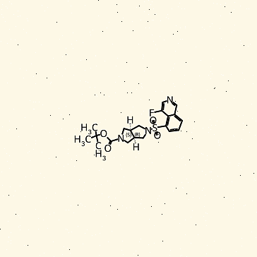 CC(C)(C)OC(=O)N1C[C@@H]2CN(S(=O)(=O)c3cccc4cncc(F)c34)C[C@@H]2C1